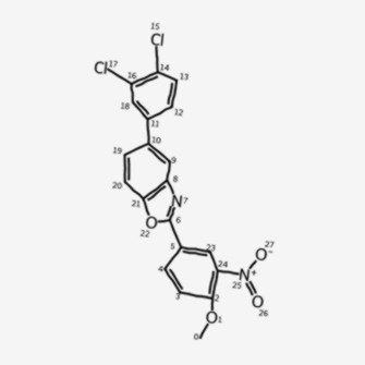 COc1ccc(-c2nc3cc(-c4ccc(Cl)c(Cl)c4)ccc3o2)cc1[N+](=O)[O-]